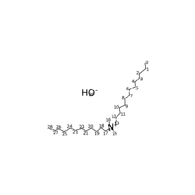 CCCCCCCCCCCCCC[N+](C)(C)CCCCCCCCCCCC.[OH-]